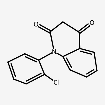 O=C1CC(=O)N(c2ccccc2Cl)c2ccccc21